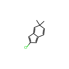 CC1(C)C=CC2=CC(Cl)=CC2=C1